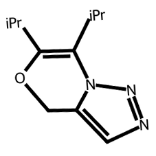 CC(C)C1=C(C(C)C)n2nncc2CO1